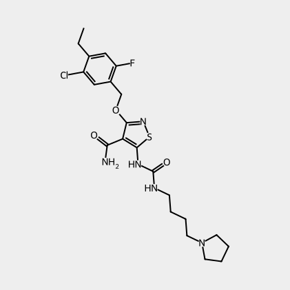 CCc1cc(F)c(COc2nsc(NC(=O)NCCCCN3CCCC3)c2C(N)=O)cc1Cl